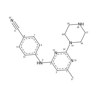 Cc1cc(Nc2ccc(C#N)cc2)nc(N2CCNCC2)n1